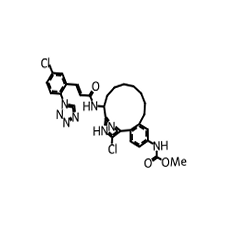 COC(=O)Nc1ccc2c(c1)CCCCCCCC(NC(=O)C=Cc1cc(Cl)ccc1-n1cnnn1)c1nc-2c(Cl)[nH]1